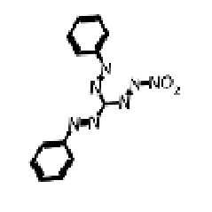 O=[N+]([O-])N=NC(N=Nc1ccccc1)N=Nc1ccccc1